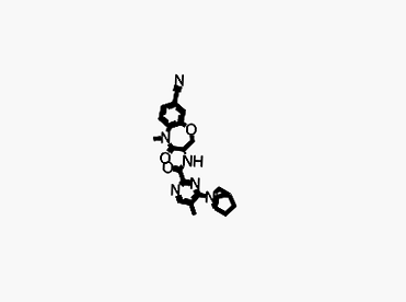 Cc1cnc(C(=O)N[C@H]2COc3cc(C#N)ccc3N(C)C2=O)nc1N1CC2CCC1C2